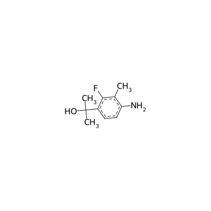 Cc1c(N)ccc(C(C)(C)O)c1F